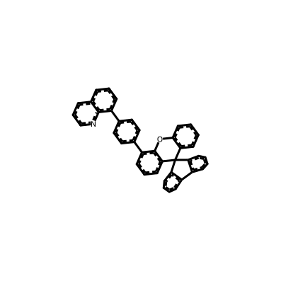 c1ccc2c(c1)Oc1c(-c3ccc(-c4cccc5cccnc45)cc3)cccc1C21c2ccccc2-c2ccccc21